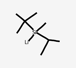 [Li][Si](C)(C(C)C)C(C)(C)C